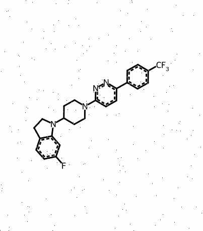 Fc1ccc2c(c1)N(C1CCN(c3ccc(-c4ccc(C(F)(F)F)cc4)nn3)CC1)CC2